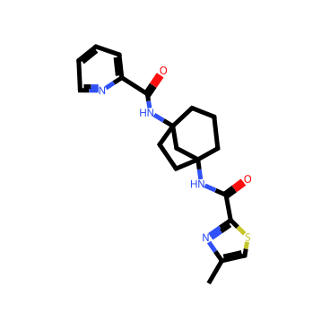 Cc1csc(C(=O)NC23CCCC(NC(=O)c4ccccn4)(CC2)C3)n1